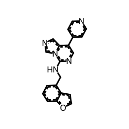 c1cc(CNc2ncc(-c3ccncc3)c3cncn23)c2ccoc2c1